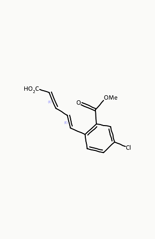 COC(=O)c1cc(Cl)ccc1/C=C/C=C/C(=O)O